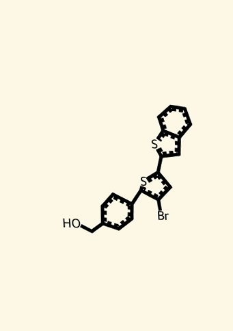 OCc1ccc(-c2sc(-c3cc4ccccc4s3)cc2Br)cc1